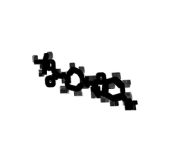 CC(C)(C)OC(=O)N1CCN(c2nc3cc(Br)ccc3o2)CC1